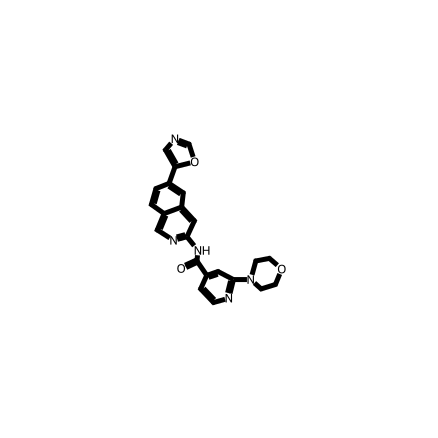 O=C(Nc1cc2cc(-c3cnco3)ccc2cn1)c1ccnc(N2CCOCC2)c1